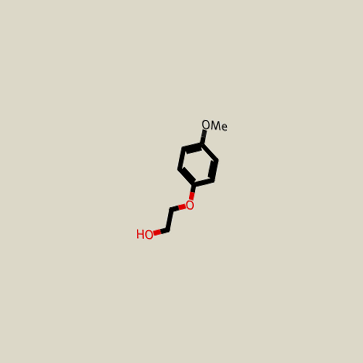 COc1ccc(OCCO)cc1